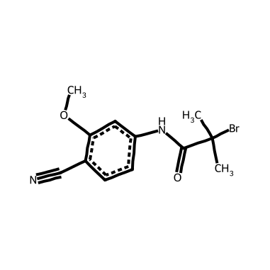 COc1cc(NC(=O)C(C)(C)Br)ccc1C#N